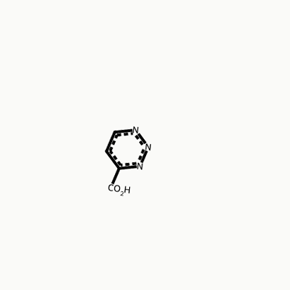 O=C(O)c1ccnnn1